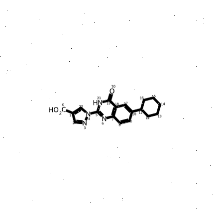 O=C(O)c1cnn(-c2nc3ccc(C4CCCCC4)cc3c(=O)[nH]2)c1